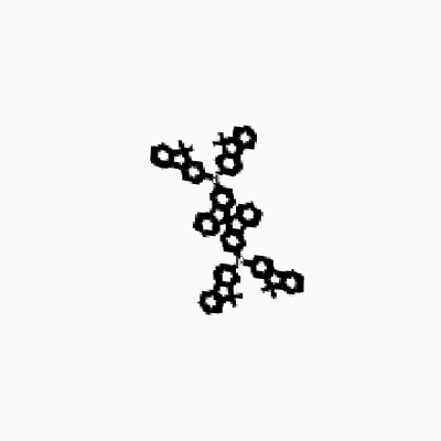 CC1(C)c2ccccc2-c2ccc(N(c3ccc4c(c3)-c3ccccc3C43c4ccccc4-c4cc(N(c5ccc6c(c5)C(C)(C)c5ccccc5-6)c5ccc6c(c5)C(C)(C)c5ccccc5-6)ccc43)c3ccc4c(c3)C(C)(C)c3ccccc3-4)cc21